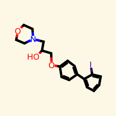 OC(COc1ccc(-c2ccccc2I)cc1)CN1CCOCC1